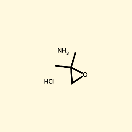 CC1(C)CO1.Cl.N